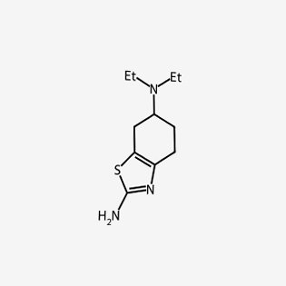 CCN(CC)C1CCc2nc(N)sc2C1